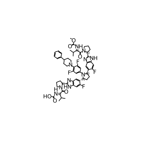 COC(=O)N[C@H](C(=O)N1CCC[C@H]1c1nc2cc([C@H]3CC[C@H](c4cc5nc([C@@H]6CCCN6C(=O)[C@@H](NC(=O)O)C(C)C)[nH]c5cc4F)N3c3cc(F)c(N4CCC(c5ccccc5)CC4)c(F)c3)c(F)cc2[nH]1)C(C)C